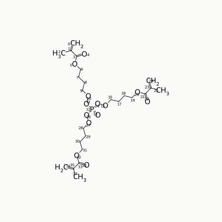 C=C(C)C(=O)OCCCCOOP(=O)(OOCCCCOC(=O)C(=C)C)OOCCCCOC(=O)C(=C)C